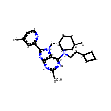 CC(C)c1ccnc(-c2nc3nc(C(=O)O)nc(NCCC4CCC4)c3n2C[C@H]2CC[C@H](C)CC2)c1